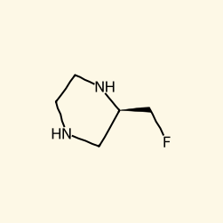 FC[C@H]1CNCCN1